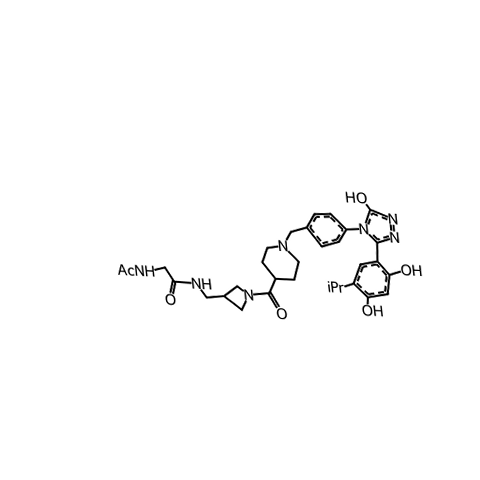 CC(=O)NCC(=O)NCC1CN(C(=O)C2CCN(Cc3ccc(-n4c(O)nnc4-c4cc(C(C)C)c(O)cc4O)cc3)CC2)C1